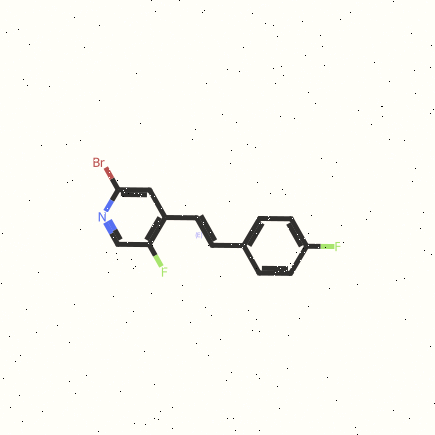 Fc1ccc(/C=C/c2cc(Br)ncc2F)cc1